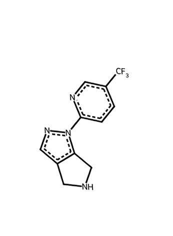 FC(F)(F)c1ccc(-n2ncc3c2CNC3)nc1